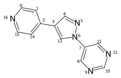 c1cc(-c2cnn(-c3cncnc3)c2)ccn1